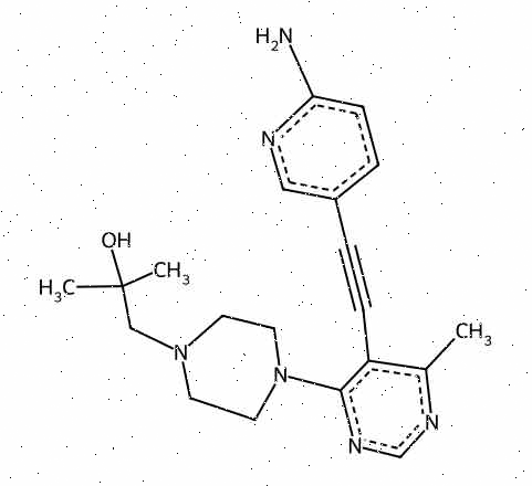 Cc1ncnc(N2CCN(CC(C)(C)O)CC2)c1C#Cc1ccc(N)nc1